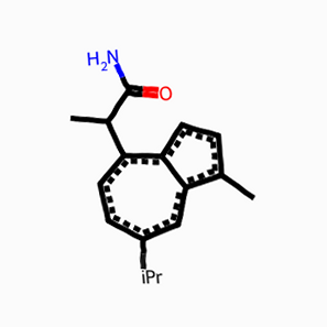 Cc1ccc2c(C(C)C(N)=O)ccc(C(C)C)cc1-2